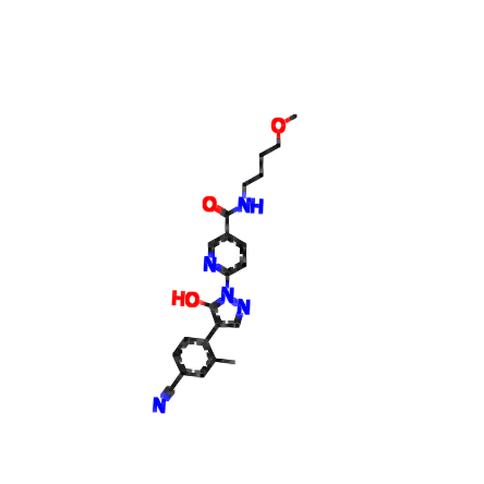 COCCCCNC(=O)c1ccc(-n2ncc(-c3ccc(C#N)cc3C)c2O)nc1